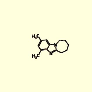 Cc1cc(C)c2nc3n(c2c1)CCCCC3